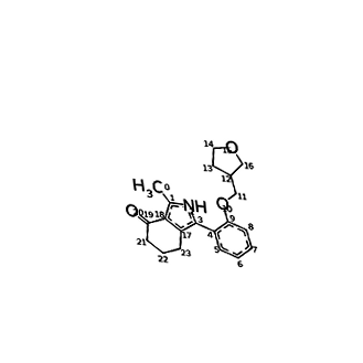 Cc1[nH]c(-c2ccccc2OCC2CCOC2)c2c1C(=O)CCC2